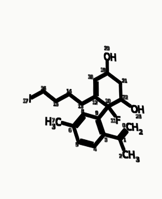 C=C(C)c1ccc(C)cc1C1(F)C(CCCCI)=CC(O)CC1O